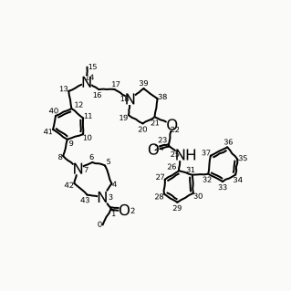 CC(=O)N1CCCN(Cc2ccc(CN(C)CCN3CCC(OC(=O)Nc4ccccc4-c4ccccc4)CC3)cc2)CC1